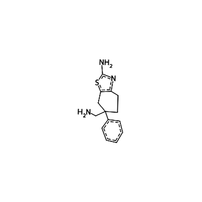 NCC1(c2ccccc2)CCc2nc(N)sc2C1